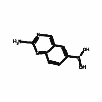 Nc1ncc2cc(B(O)O)ccc2n1